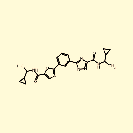 CC(NC(=O)c1n[nH]c(-c2cccc(-c3ncc(C(=O)NC(C)C4CC4)o3)c2)n1)C1CC1